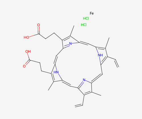 C=CC1=C(C)c2cc3[nH]c(cc4nc(cc5[nH]c(cc1n2)c(C)c5CCC(=O)O)C(CCC(=O)O)=C4C)c(C)c3C=C.Cl.Cl.[Fe]